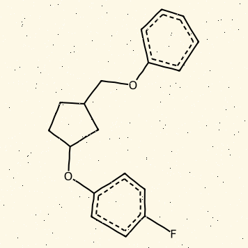 Fc1ccc(OC2CCC(COc3ccccc3)C2)cc1